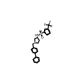 O=S(=O)(N[C@@H]1CCN(Cc2ccc(-c3ccccc3)cc2)C1)c1cccc(C(F)(F)F)c1